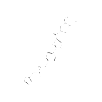 O=C(Cc1cccs1)NCc1ccc(-c2nc(C(=O)N3CC[C@@H](O)[C@H](O)C3)co2)cc1